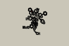 C#CCOc1cc(OC)cc(OC)c1S(=O)(=O)OCC(C)(O)C(=O)C(CC(C)C)NC(=O)C(Cc1ccccc1)NC(=O)C(CC(C)C)NC(=O)C(CCc1ccccc1)NC(=O)CN1CCOCC1